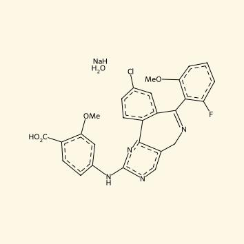 COc1cc(Nc2ncc3c(n2)-c2ccc(Cl)cc2C(c2c(F)cccc2OC)=NC3)ccc1C(=O)O.O.[NaH]